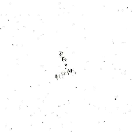 [AlH3].[Cr].[Fe].[Ni].[V].[Zr]